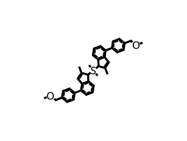 COCc1ccc(-c2cccc3c2C=C(C)C3S(C)(C)C2C(C)=Cc3c(-c4ccc(COC)cc4)cccc32)cc1